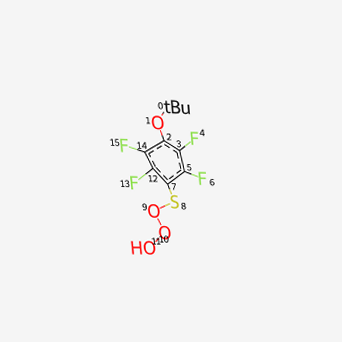 CC(C)(C)Oc1c(F)c(F)c(SOOO)c(F)c1F